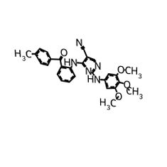 COc1cc(Nc2ncc(C#N)c(Nc3ccccc3C(=O)c3ccc(C)cc3)n2)cc(OC)c1OC